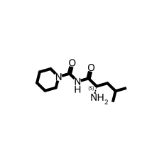 CC(C)C[C@H](N)C(=O)NC(=O)N1CCCCC1